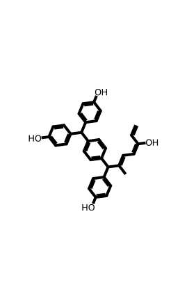 C=C/C(O)=C\C=C(/C)C(c1ccc(O)cc1)c1ccc(C(c2ccc(O)cc2)c2ccc(O)cc2)cc1